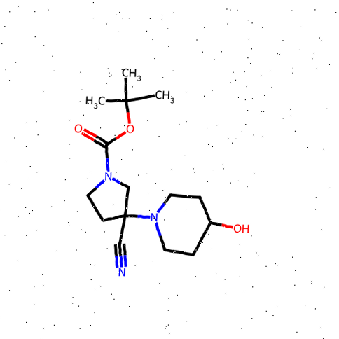 CC(C)(C)OC(=O)N1CCC(C#N)(N2CCC(O)CC2)C1